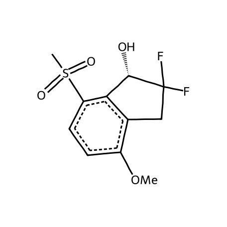 COc1ccc(S(C)(=O)=O)c2c1CC(F)(F)[C@H]2O